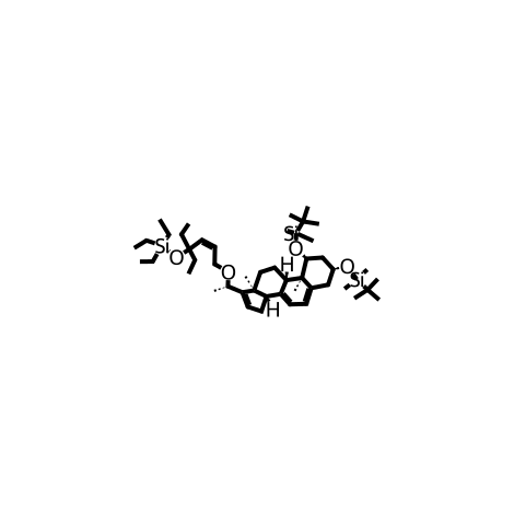 CCC(/C=C\CO[C@@H](C)C1=CC[C@H]2C3=CC=C4C[C@@H](O[Si](C)(C)C(C)(C)C)C[C@H](O[Si](C)(C)C(C)(C)C)[C@]4(C)[C@H]3CC[C@]12C)(CC)O[Si](CC)(CC)CC